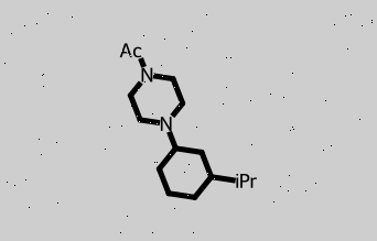 CC(=O)N1CCN(C2CCCC(C(C)C)C2)CC1